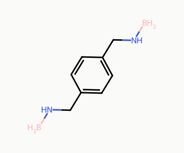 BNCc1ccc(CNB)cc1